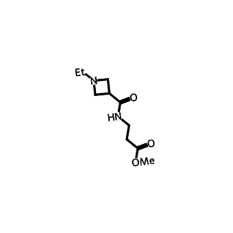 CCN1CC(C(=O)NCCC(=O)OC)C1